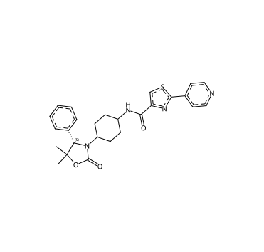 CC1(C)OC(=O)N(C2CCC(NC(=O)c3csc(-c4ccncc4)n3)CC2)[C@H]1c1ccccc1